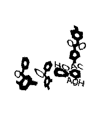 CC(=O)c1ccc(O)cc1.CC(=O)c1cccc(O)c1.Cc1ccc(C(=O)C(=O)c2ccc(C)cc2)cc1.Cc1ccc(C(=O)c2ccccc2)cc1C.Cc1ccc(C)c(C(=O)c2ccccc2)c1